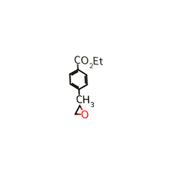 C1CO1.CCOC(=O)c1ccc(C)cc1